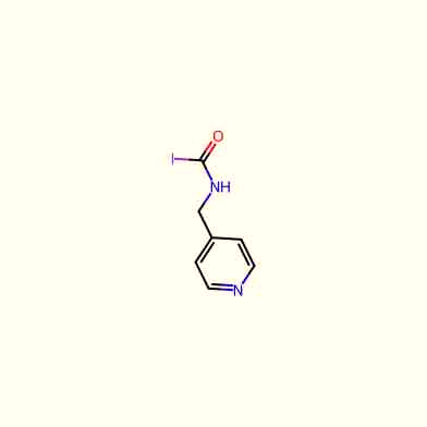 O=C(I)NCc1ccncc1